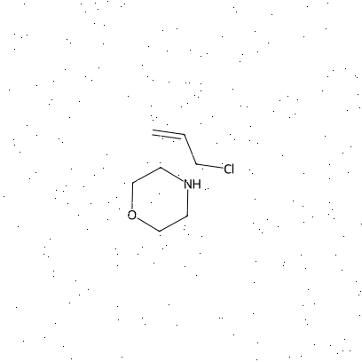 C1COCCN1.C=CCCl